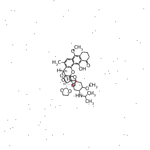 COc1c2c(c(O)c3c4c(c(C)cc13)[C@H]1O[C@]3(C5OCCO5)O[C@@H]1[C@](OC1CC(OC)C(NC(C)C)CO1)(O4)[C@@]31CO1)C(=O)CCC2